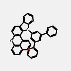 c1ccc(-c2cc(-c3ccccc3)cc(-n3c4ccccc4c4ccc5c(c43)-c3cccc4cccc(c34)O5)c2)cc1